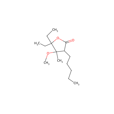 CCCCCC1C(=O)OC(CC)(CC)C1(C)OC